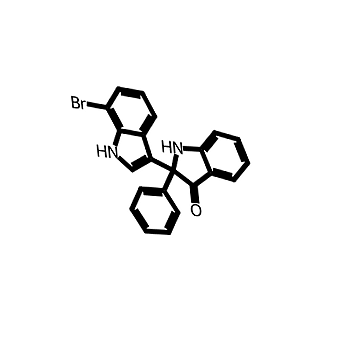 O=C1c2ccccc2NC1(c1ccccc1)c1c[nH]c2c(Br)cccc12